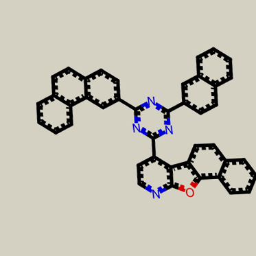 c1ccc2cc(-c3nc(-c4ccc5ccc6ccccc6c5c4)nc(-c4ccnc5oc6c7ccccc7ccc6c45)n3)ccc2c1